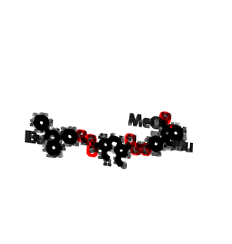 C=CC1CC(/C=C\C2CC(C=C)C(C(=O)OCOc3ccc(C(CC(CC(C)CC)c4ccccc4)c4ccccc4)cc3)C2)C(C(=O)OCOc2ccc(C(CC(C)CC)(CC(C)C(=O)OC)c3ccccc3)cc2)C1